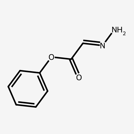 NN=CC(=O)Oc1ccccc1